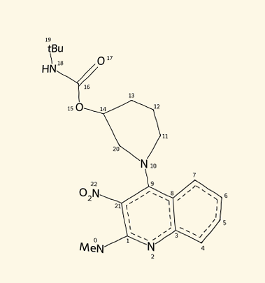 CNc1nc2ccccc2c(N2CCCC(OC(=O)NC(C)(C)C)C2)c1[N+](=O)[O-]